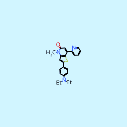 CCN(CC)c1ccc(-c2cc3c(s2)c(-c2ccccn2)cc(=O)n3C)cc1